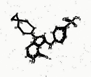 CS(=O)(=O)c1ccc(Nc2nn(C3CCC4(CC3)CC4)c3cc[nH]c(=O)c23)cc1